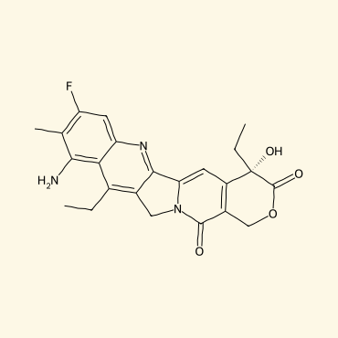 CCc1c2c(nc3cc(F)c(C)c(N)c13)-c1cc3c(c(=O)n1C2)COC(=O)[C@]3(O)CC